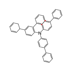 C1=CCC(c2ccc(N(c3ccc(-c4ccccc4)cc3)c3ccc(-c4ccccc4)cc3)c(-c3ccccc3)c2)C=C1